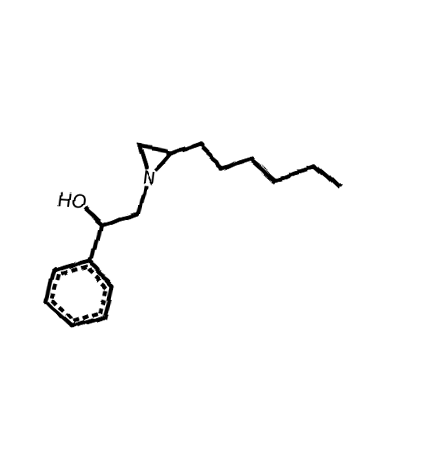 CCCCCCC1CN1CC(O)c1ccccc1